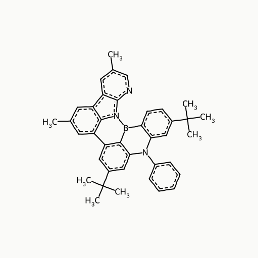 Cc1cnc2c(c1)c1cc(C)cc3c1n2B1c2ccc(C(C)(C)C)cc2N(c2ccccc2)c2cc(C(C)(C)C)cc-3c21